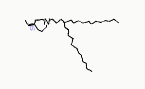 C/C=C1/CCCN(CCCC(CCCCCCCCCCCC)CCCCCCCCCCCC)CC1